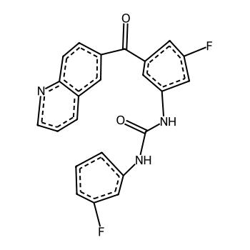 O=C(Nc1cccc(F)c1)Nc1cc(F)cc(C(=O)c2ccc3ncccc3c2)c1